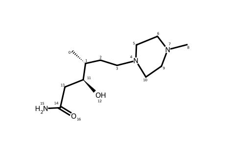 C[C@H](CCN1CCN(C)CC1)[C@@H](O)CC(N)=O